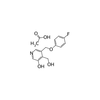 CC(=O)O.OCc1c(O)cncc1COc1ccc(F)cc1